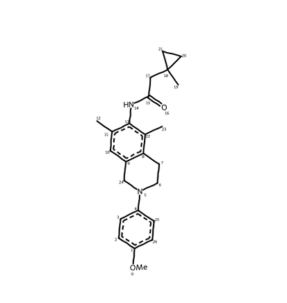 COc1ccc(N2CCc3c(cc(C)c(NC(=O)CC4(C)CC4)c3C)C2)cc1